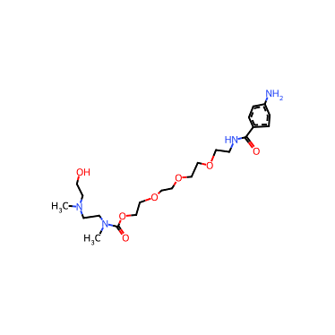 CN(CCO)CCN(C)C(=O)OCCOCCOCCOCCNC(=O)c1ccc(N)cc1